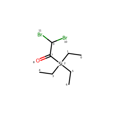 CC[Si](CC)(CC)C(=O)C(Br)Br